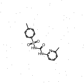 Cc1ccc(S(=O)(=O)NC(=O)Nc2cccc(C)n2)cc1